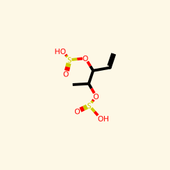 C=CC(OS(=O)O)C(C)OS(=O)O